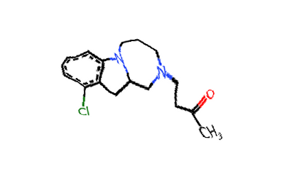 CC(=O)CCN1CCCN2c3cccc(Cl)c3CC2C1